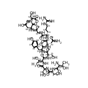 C[C@@H](O)[C@H](N)C(=O)N[C@@H](CO)C(=O)N[C@@H](CO)C(=O)N[C@H](C(=O)N[C@@H](CO)C(=O)N[C@@H](Cc1ccc(O)cc1)C(=O)N[C@@H](CC(N)=O)C(=O)N[C@@H](CCCNC(=N)N)C(=O)NCC(=O)N[C@@H](CC(=O)O)C(=O)N[C@@H](CO)C(=O)O)[C@@H](C)O